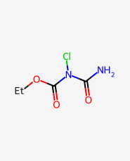 CCOC(=O)N(Cl)C(N)=O